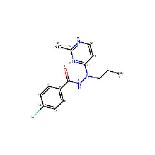 CC(C)CCN(NC(=O)c1ccc(F)cc1)c1ccnc(C#N)n1